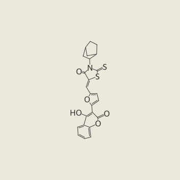 O=C1C(=Cc2ccc(-c3c(O)c4ccccc4oc3=O)o2)SC(=S)N1C1CC2CCC1C2